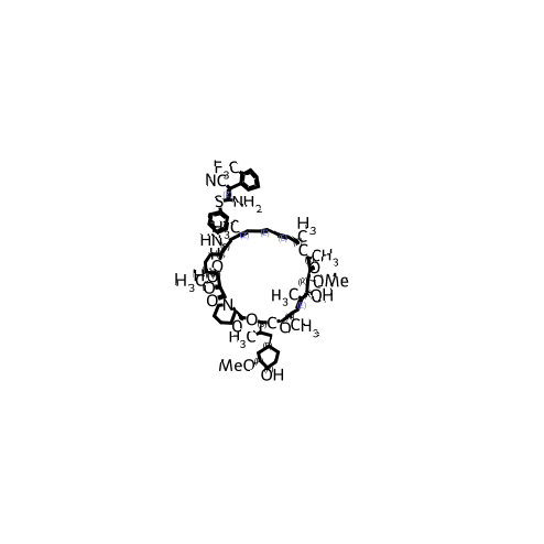 CO[C@@H]1C[C@@H](CC(C)[C@@H]2CC(=O)[C@H](C)/C=C(\C)[C@@H](O)[C@@H](OC)C(=O)[C@H](C)C[C@H](C)/C=C/C=C/C=C(/C)C[C@@H](Nc3ccc(S/C(N)=C(\C#N)c4ccccc4C(F)(F)F)cc3)[C@@H]3CC[C@@H](C)[C@@](O)(O3)C(=O)C(=O)N3CCCCC3C(=O)O2)CC[C@H]1O